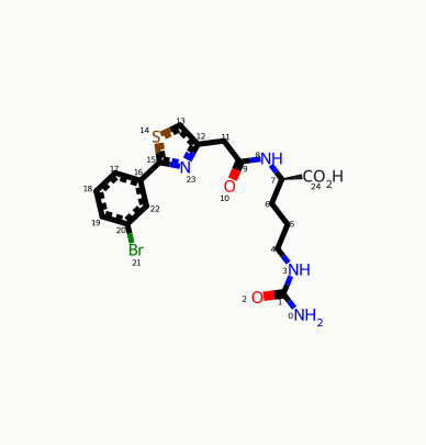 NC(=O)NCCC[C@@H](NC(=O)Cc1csc(-c2cccc(Br)c2)n1)C(=O)O